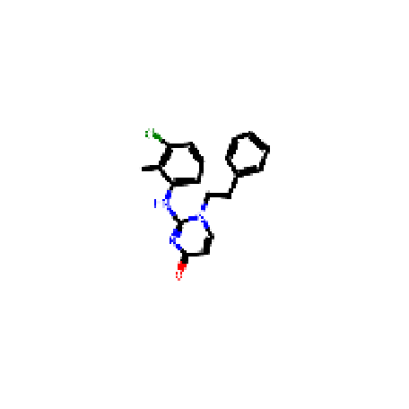 Cc1c(Cl)cccc1Nc1nc(=O)ccn1CCc1ccccc1